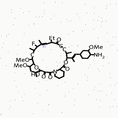 CCC1/C=C(\C)C(F)C(C)CC(OC)C2OC(O)(C(=O)C(=O)N3CCCCC3C(=O)OC(C(C)=CC3CCC(N)C(OC)C3)C(C)CCC1=O)C(C)CC2OC